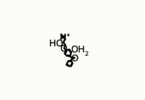 C[N+](C)(C)CC(O)COc1ccc(C(=O)c2ccccc2)cc1.O